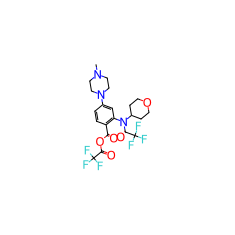 CN1CCN(c2ccc(C(=O)OC(=O)C(F)(F)F)c(N(C(=O)C(F)(F)F)C3CCOCC3)c2)CC1